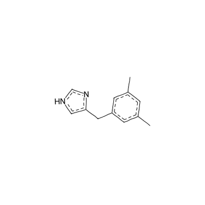 Cc1cc(C)cc(Cc2c[nH]cn2)c1